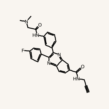 C#CCNC(=O)c1ccc2nc(-c3ccc(F)cc3)c(-c3cccc(NC(=O)CN(C)C)c3)nc2c1